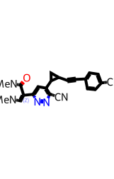 CN/C=C(\C(=O)NC)c1cc(C2CC2C#Cc2ccc(C#N)cc2)c(C#N)nn1